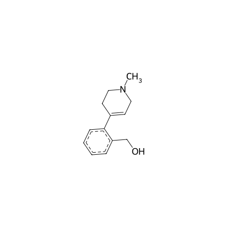 CN1CC=C(c2ccccc2CO)CC1